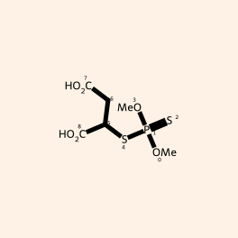 COP(=S)(OC)SC(CC(=O)O)C(=O)O